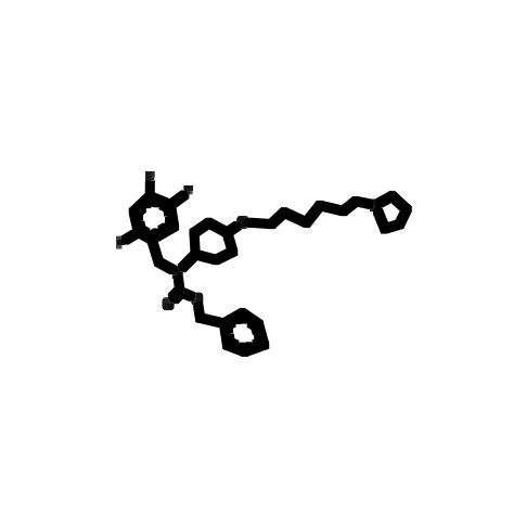 O=C(OCc1ccccc1)N(Cc1cc(F)c(F)cc1F)C1CCC(OCCCCCCN2CCCC2)CC1